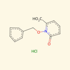 Cl.O=C(O)c1cccc(=O)n1OCc1ccccc1